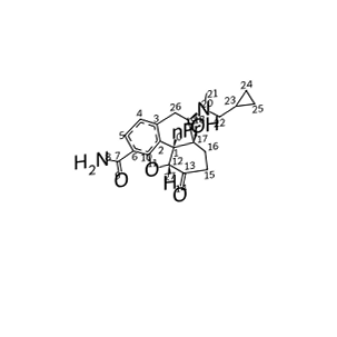 CCC[C@]12c3c4ccc(C(N)=O)c3O[C@H]1C(=O)CC[C@@]2(O)[C@H](N(C)CC1CC1)C4